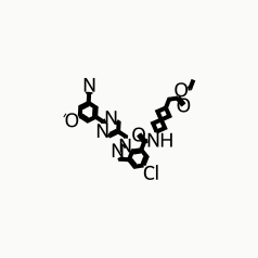 CCOC(=O)CC1CC2(C1)CC(NC(=O)c1cc(Cl)cc3cnn(Cc4cnc(-c5cc(C#N)cc(OC)c5)nc4)c13)C2